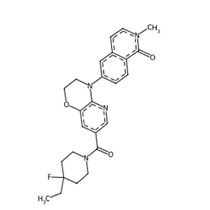 CCC1(F)CCN(C(=O)c2cnc3c(c2)OCCN3c2ccc3c(=O)n(C)ccc3c2)CC1